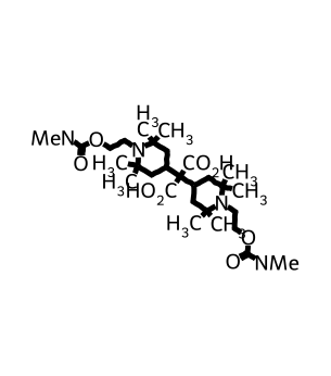 CNC(=O)OCCN1C(C)(C)CC(C(C(=O)O)(C(=O)O)C2CC(C)(C)N(CCOC(=O)NC)C(C)(C)C2)CC1(C)C